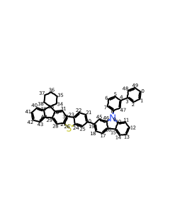 c1ccc(-c2cccc(-n3c4ccccc4c4ccc(-c5ccc6c(c5)sc5cc7c(cc56)C5(CCCCC5)c5ccccc5-7)cc43)c2)cc1